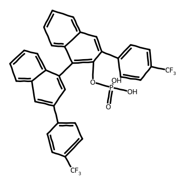 O=P(O)(O)Oc1c(-c2ccc(C(F)(F)F)cc2)cc2ccccc2c1-c1cc(-c2ccc(C(F)(F)F)cc2)cc2ccccc12